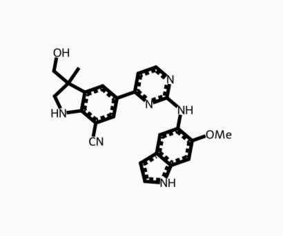 COc1cc2[nH]ccc2cc1Nc1nccc(-c2cc(C#N)c3c(c2)C(C)(CO)CN3)n1